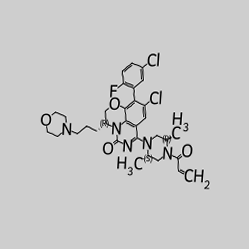 C=CC(=O)N1C[C@H](C)N(c2nc(=O)n3c4c(c(-c5cc(Cl)ccc5F)c(Cl)cc24)OC[C@H]3CCCN2CCOCC2)C[C@H]1C